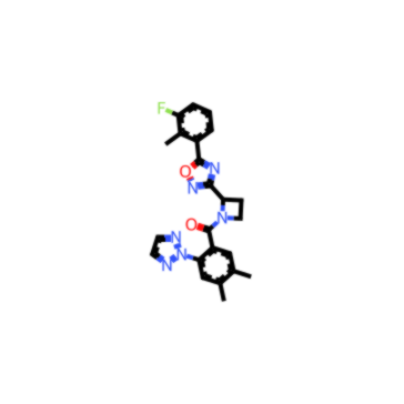 Cc1cc(C(=O)N2CCC2c2noc(-c3cccc(F)c3C)n2)c(-n2nccn2)cc1C